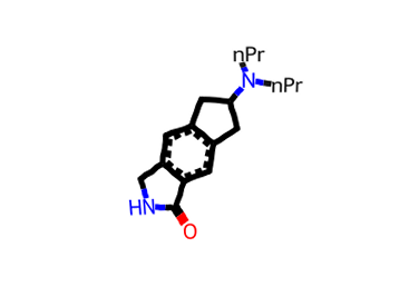 CCCN(CCC)C1Cc2cc3c(cc2C1)C(=O)NC3